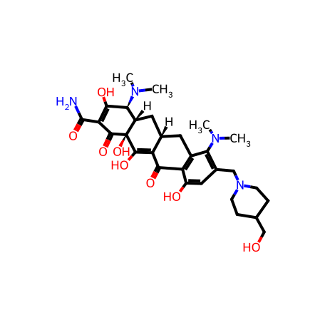 CN(C)c1c(CN2CCC(CO)CC2)cc(O)c2c1C[C@H]1C[C@H]3[C@H](N(C)C)C(O)=C(C(N)=O)C(=O)[C@@]3(O)C(O)=C1C2=O